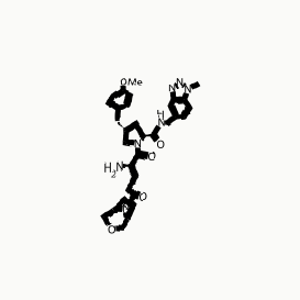 COc1ccc(C[C@@H]2C[C@@H](C(=O)NCc3ccc4c(c3)nnn4C)N(C(=O)[C@H](N)CCC(=O)N3C4CCC3COC4)C2)cc1